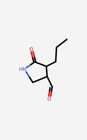 CCCC1C(=O)NCC1C=O